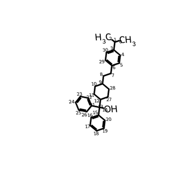 CC(C)c1ccc(CCC2CCC(C(O)(c3ccccc3)c3ccccc3)CC2)cc1